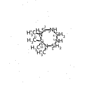 CN1[SiH2]N[SiH2]N[SiH2]N(C)[Si]1(C)C